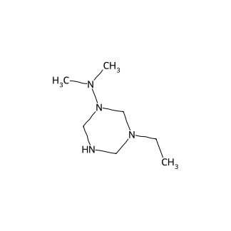 CCN1CNCN(N(C)C)C1